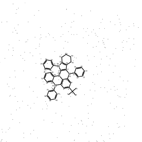 CC(C)(C)c1cc2c3c(c1)N(c1ccccc1)c1c4c(n(-c5ccccc5)c1B3c1ccccc1N2c1ccccc1)CCCC4